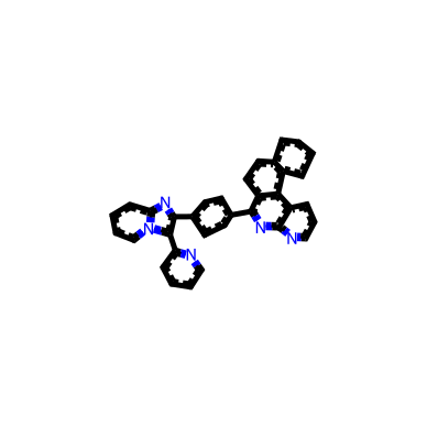 c1ccc(-c2c(-c3ccc(-c4nc5ncccc5c5c4ccc4ccccc45)cc3)nc3ccccn23)nc1